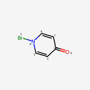 O=c1ccn(Br)cc1